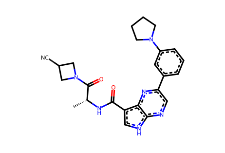 C[C@@H](NC(=O)c1c[nH]c2ncc(-c3cccc(N4CCCC4)c3)nc12)C(=O)N1CC(C#N)C1